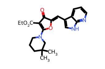 CCOC(=O)C1=C(N2CCCC(C)(C)C2)OC(=Cc2c[nH]c3ncccc23)C1=O